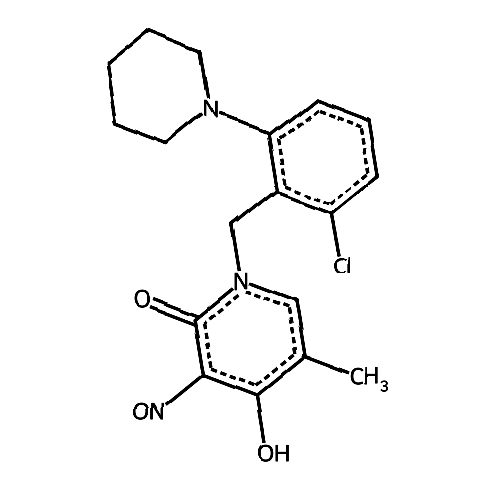 Cc1cn(Cc2c(Cl)cccc2N2CCCCC2)c(=O)c(N=O)c1O